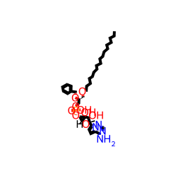 CCCCCCCCCCCCCCCCCCOC[C@H](COP(=O)(O)OC1[C@H]2O[C@@](C)(c3ccc4c(N)ncnn34)[C@H](O)[C@@]12O)OCc1ccccc1